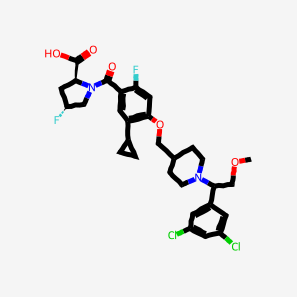 COCC(c1cc(Cl)cc(Cl)c1)N1CCC(COc2cc(F)c(C(=O)N3C[C@H](F)C[C@H]3C(=O)O)cc2C2CC2)CC1